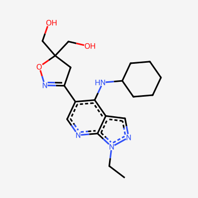 CCn1ncc2c(NC3CCCCC3)c(C3=NOC(CO)(CO)C3)cnc21